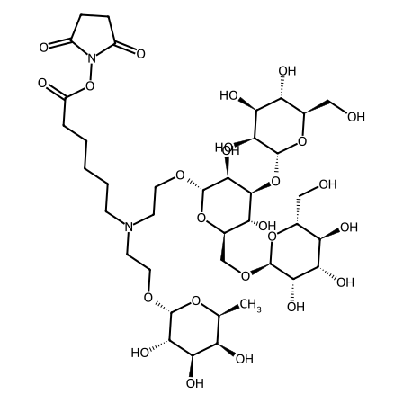 C[C@@H]1O[C@@H](OCCN(CCCCCC(=O)ON2C(=O)CCC2=O)CCO[C@H]2O[C@H](CO[C@H]3O[C@H](CO)[C@@H](O)[C@H](O)[C@@H]3O)[C@@H](O)[C@H](O[C@H]3O[C@H](CO)[C@@H](O)[C@H](O)[C@@H]3O)[C@@H]2O)[C@@H](O)[C@H](O)[C@@H]1O